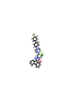 O=C(NCC(F)(F)F)C1(CCCCN2CCN(c3ccc(-c4ccc(F)cc4)cc3)CC2)c2ccccc2-c2ccccc21